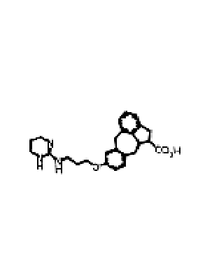 O=C(O)C1Cc2cccc3c2C1Cc1ccc(OCCCNC2=NCCCN2)cc1C3